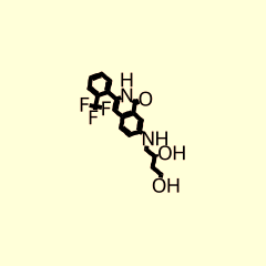 O=c1[nH]c(-c2ccccc2C(F)(F)F)cc2ccc(NC[C@@H](O)CCO)cc12